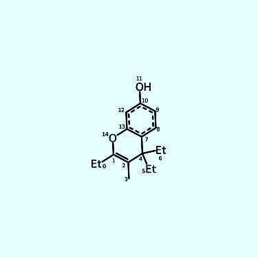 CCC1=C(C)C(CC)(CC)c2ccc(O)cc2O1